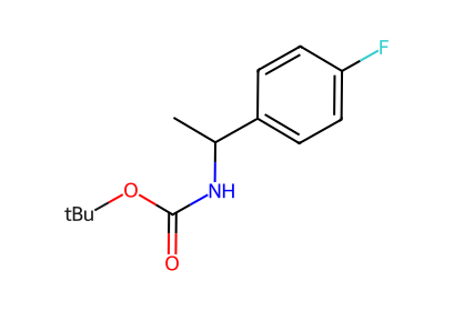 CC(NC(=O)OC(C)(C)C)c1ccc(F)cc1